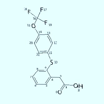 O=C(O)Cc1ccccc1Sc1ccc(OC(F)(F)F)cc1